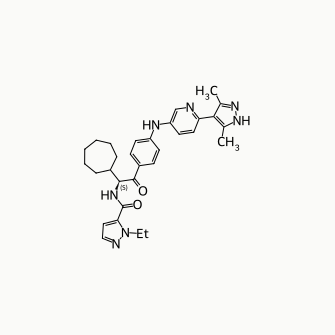 CCn1nccc1C(=O)N[C@H](C(=O)c1ccc(Nc2ccc(-c3c(C)n[nH]c3C)nc2)cc1)C1CCCCCC1